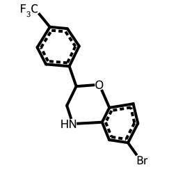 FC(F)(F)c1ccc(C2CNc3cc(Br)ccc3O2)cc1